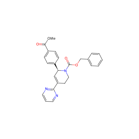 COC(=O)c1ccc([C@@H]2C=C(c3ncccn3)CCN2C(=O)OCc2ccccc2)cc1